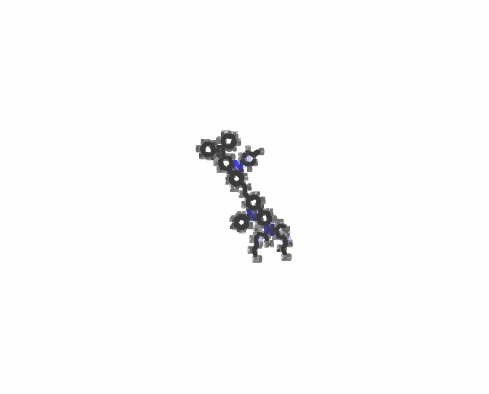 C=C/C=C\C(=C/C)n1c2c(c3ccc(CCC4=CC=C5C6=C(CC(N(/C(=C/C=C\CC)CC)C(C)/C=C\CCC)C=C6)N(c6ccccc6)C5C4)cc31)C=CC(B(C1=CCCC=C1)C1C=CC=CC1)C2